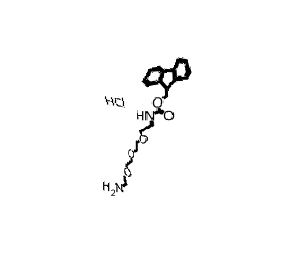 Cl.NCCOCCOCCOCCNC(=O)OCC1c2ccccc2-c2ccccc21